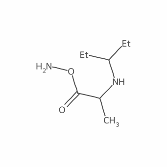 CCC(CC)NC(C)C(=O)ON